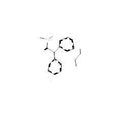 CCCC.CN(C)C(=O)C(c1ccccc1)c1ccccc1.[AlH3]